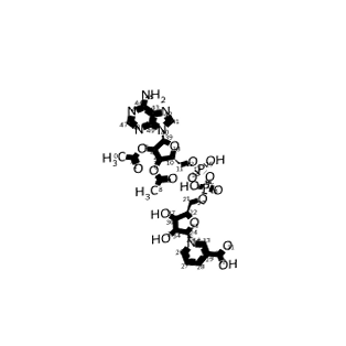 CC(=O)OC1C(OC(C)=O)[C@@H](COP(=O)(O)OP(=O)(O)OC[C@H]2O[C@@H]([n+]3cccc(C(=O)O)c3)C(O)C2O)O[C@H]1n1cnc2c(N)ncnc21